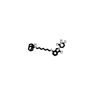 O=C1CC[C@@H](N2Cc3c(SCCCCCCCNC45CC6CC(CC(C6)C4)C5)cccc3C2=O)C(=O)N1